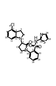 O=C1C(N2CCc3c(Cl)cccc32)CCN1c1ccccc1S(=O)(=O)Nc1nccs1